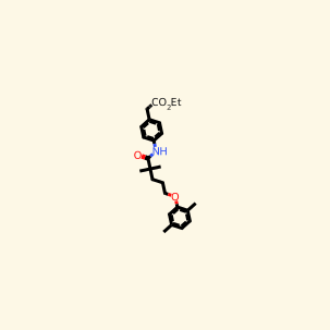 CCOC(=O)Cc1ccc(NC(=O)C(C)(C)CCCOc2cc(C)ccc2C)cc1